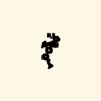 C[C@@H]1CC[C@H](C)N1c1nc(-c2cncc(OCC3CC3)c2)ccc1C(=O)NS(=O)(=O)c1cccc(N)n1